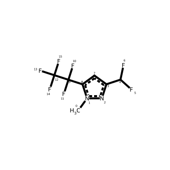 Cn1nc(C(F)F)cc1C(F)(F)C(F)(F)F